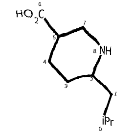 CC(C)CC1CCC(C(=O)O)CN1